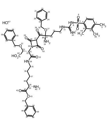 Cc1ccc(S(=O)(=O)NC(=N)NCCC[C@@](N)(OCc2ccccc2)C(=O)C2C(=O)N([C@H](C(=O)NCCCC[C@H](N)C(=O)OCc3ccccc3)C(OCc3ccccc3)C(=O)O)C2=O)c(C)c1C.Cl